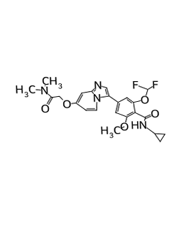 COc1cc(-c2cnc3cc(OCC(=O)N(C)C)ccn23)cc(OC(F)F)c1C(=O)NC1CC1